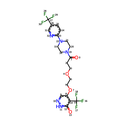 O=C(CCOCCOc1cn[nH]c(=O)c1C(F)(F)F)N1CCN(c2ccc(C(F)(F)F)cn2)CC1